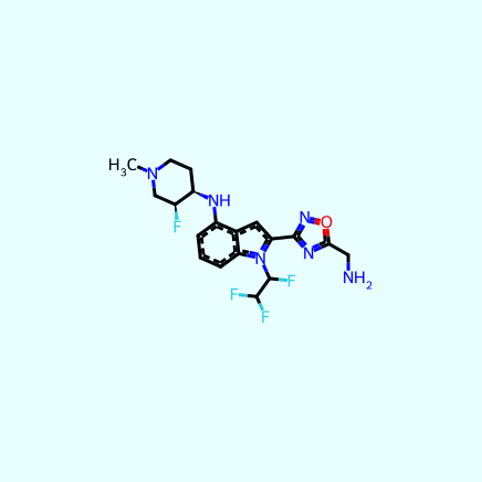 CN1CC[C@@H](Nc2cccc3c2cc(-c2noc(CN)n2)n3C(F)C(F)F)[C@@H](F)C1